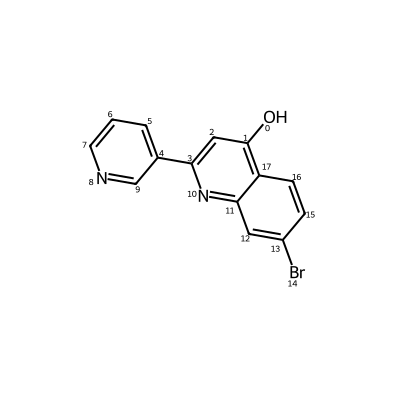 Oc1cc(-c2cccnc2)nc2cc(Br)ccc12